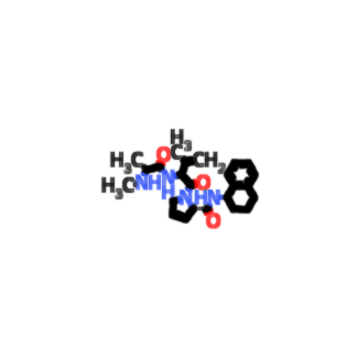 C=C(C)C(NC(=O)[C@H](C)NC)C(=O)N1CC=C[C@H]1C(=O)N[C@@H]1CCCc2ccccc21